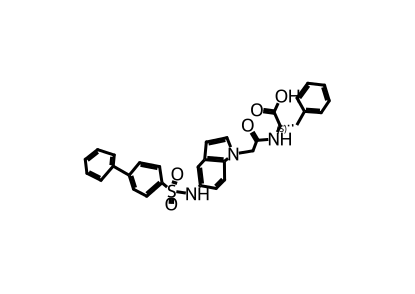 O=C(Cn1ccc2cc(NS(=O)(=O)c3ccc(-c4ccccc4)cc3)ccc21)N[C@@H](Cc1ccccc1)C(=O)O